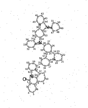 O=c1c2ccccc2c2cccc3c4c(-c5ccc6c7ccccc7c7ccc(-n8c9ccccc9c9cc%10c%11ccccc%11n(-c%11ccccc%11)c%10cc98)cc7c6c5)cccc4n1c23